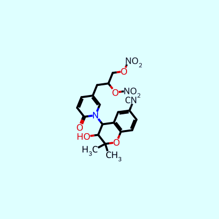 CC1(C)Oc2ccc(C#N)cc2C(n2cc(CC(CO[N+](=O)[O-])O[N+](=O)[O-])ccc2=O)C1O